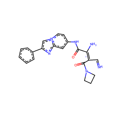 N=C/C(C(=O)N1CCC1)=C(\N)C(=O)Nc1ccn2cc(-c3ccccc3)nc2c1